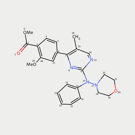 COC(=O)c1ccc(-c2nc(N(c3ccccc3)N3CCOCC3)ncc2C)cc1OC